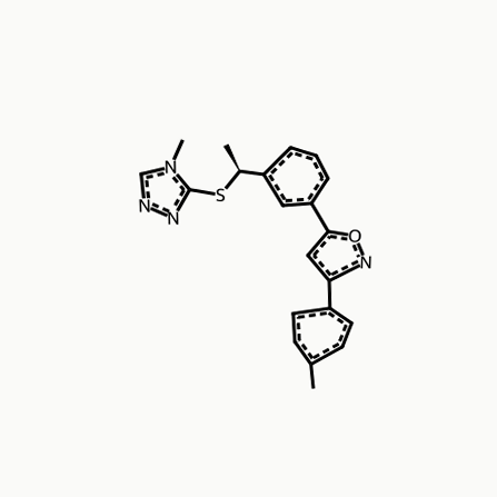 Cc1ccc(-c2cc(-c3cccc([C@H](C)Sc4nncn4C)c3)on2)cc1